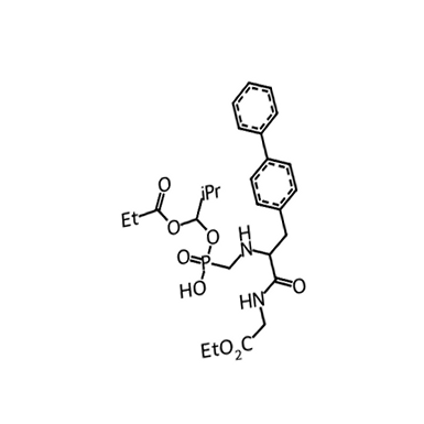 CCOC(=O)CNC(=O)C(Cc1ccc(-c2ccccc2)cc1)NCP(=O)(O)OC(OC(=O)CC)C(C)C